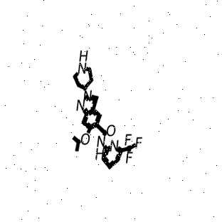 CC(C)Oc1cc2nn(C3CCNCC3)cc2cc1C(=O)Nc1cccc(C(F)(F)F)n1